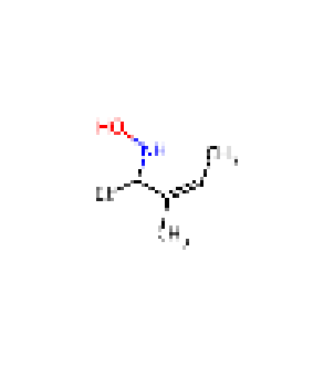 C/C=C(/C)C(CC)NO